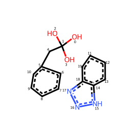 OC(O)(O)Cc1ccccc1.c1ccc2[nH]nnc2c1